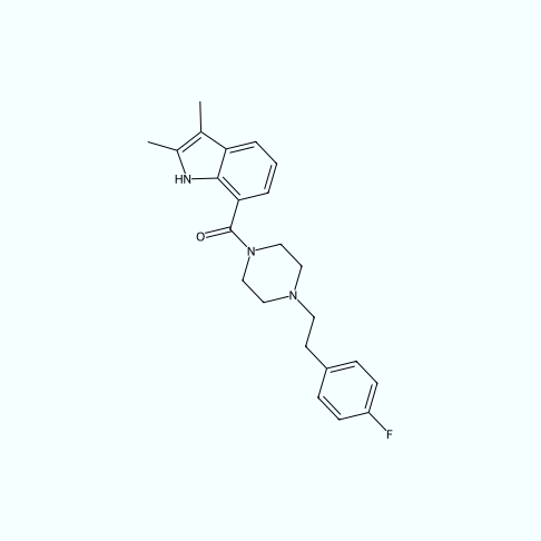 Cc1[nH]c2c(C(=O)N3CCN(CCc4ccc(F)cc4)CC3)cccc2c1C